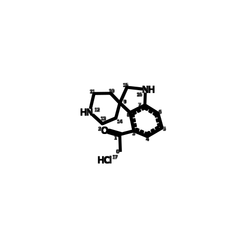 CC(=O)c1cccc2c1C1(CCNCC1)CN2.Cl